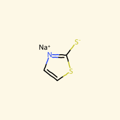 [Na+].[S-]c1nccs1